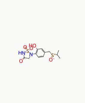 CC(C)[S+]([O-])Cc1ccc(N2CC(=O)NS2(=O)=O)c(O)c1